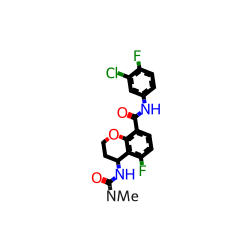 CNC(=O)NC1CCOc2c(C(=O)Nc3ccc(F)c(Cl)c3)ccc(F)c21